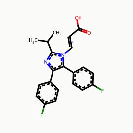 CC(C)c1nc(-c2ccc(F)cc2)c(-c2ccc(F)cc2)n1/C=C/C(=O)O